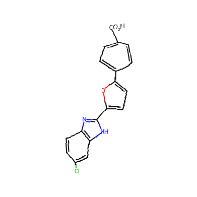 O=C(O)c1ccc(-c2ccc(-c3nc4ccc(Cl)cc4[nH]3)o2)cc1